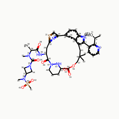 CCn1c(-c2cccnc2[C@H](C)OC)c2c3cc(ccc31)-c1csc(n1)C[C@H](NC(=O)[C@H](C(C)C)N(C)C(=O)N1CC(N(C)S(C)(=O)=O)C1)C(=O)N1CCC[C@@](O)(N1)C(=O)OCC(C)(C)C2